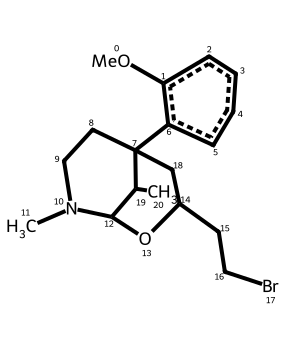 COc1ccccc1C12CCN(C)C(OC(CCBr)C1)C2C